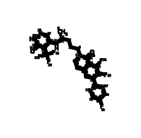 C[C@@H](CCCn1ccc2cc(-c3ncc(F)cn3)c(F)c(F)c2c1=O)Nc1cn[nH]c(=O)c1C(F)(F)F